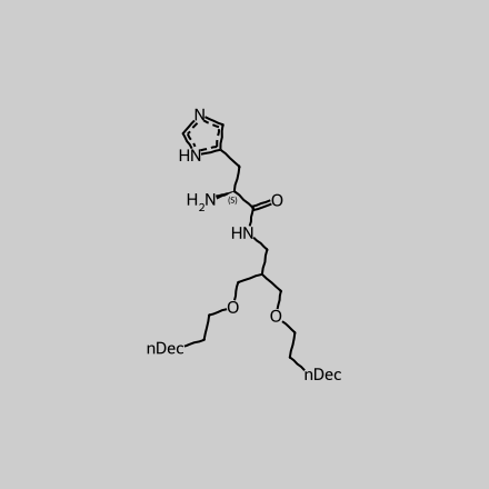 CCCCCCCCCCCCOCC(CNC(=O)[C@@H](N)Cc1cnc[nH]1)COCCCCCCCCCCCC